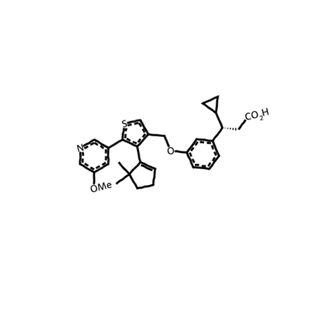 COc1cncc(-c2scc(COc3cccc([C@@H](CC(=O)O)C4CC4)c3)c2C2=CCCC2(C)C)c1